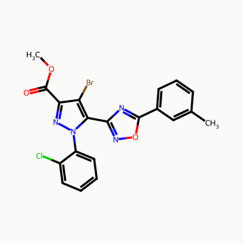 COC(=O)c1nn(-c2ccccc2Cl)c(-c2noc(-c3cccc(C)c3)n2)c1Br